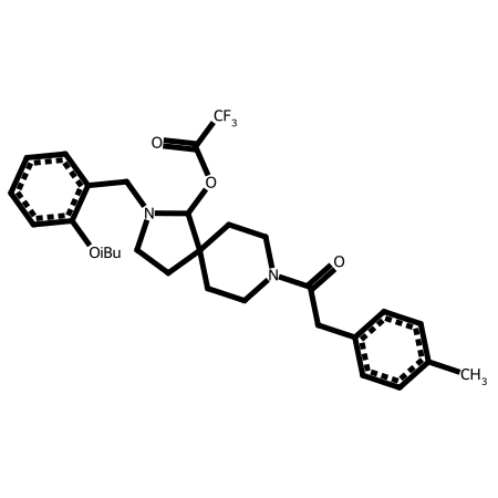 Cc1ccc(CC(=O)N2CCC3(CC2)CCN(Cc2ccccc2OCC(C)C)C3OC(=O)C(F)(F)F)cc1